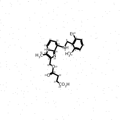 CCc1cccc(C)c1CNc1cccn2c(C)c(COC(=O)CCC(=O)O)nc12